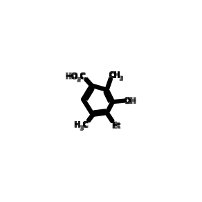 CCc1c(C)cc(C(=O)O)c(C)c1O